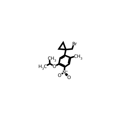 Cc1cc([N+](=O)[O-])c(OC(C)C)cc1C1(CBr)CC1